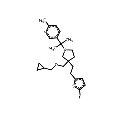 Cc1ccc(C(C)(C)N2CCC(CCc3ccc(F)s3)(COCC3CC3)C2)cn1